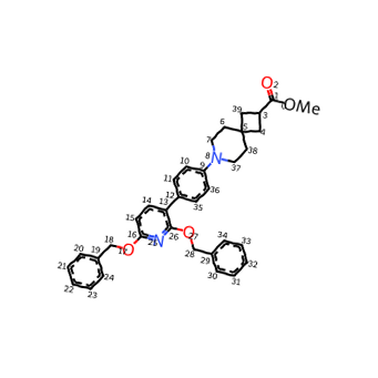 COC(=O)C1CC2(CCN(c3ccc(-c4ccc(OCc5ccccc5)nc4OCc4ccccc4)cc3)CC2)C1